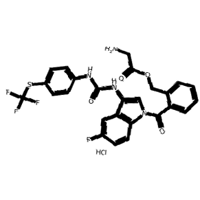 Cl.NCC(=O)OCc1ccccc1C(=O)n1cc(NC(=O)Nc2ccc(SC(F)(F)F)cc2)c2cc(F)ccc21